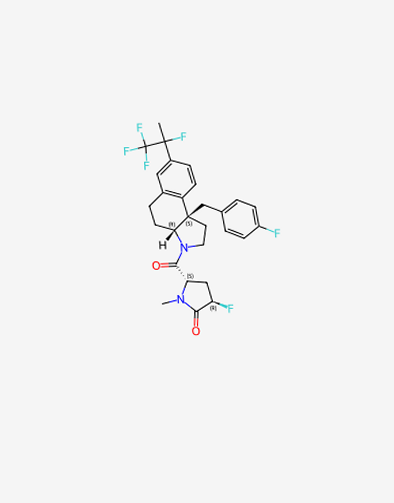 CN1C(=O)[C@H](F)C[C@H]1C(=O)N1CC[C@@]2(Cc3ccc(F)cc3)c3ccc(C(C)(F)C(F)(F)F)cc3CC[C@@H]12